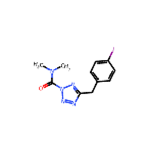 CN(C)C(=O)n1nnc(Cc2ccc(I)cc2)n1